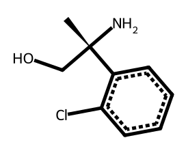 C[C@](N)(CO)c1ccccc1Cl